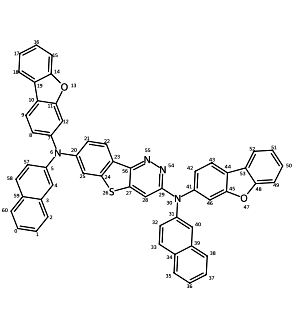 c1ccc2cc(N(c3ccc4c(c3)oc3ccccc34)c3ccc4c(c3)sc3cc(N(c5ccc6ccccc6c5)c5ccc6c(c5)oc5ccccc56)nnc34)ccc2c1